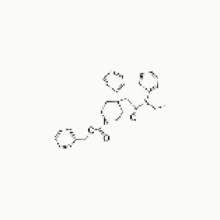 CCN(C(=O)CC1(c2ccccc2)CCN(C(=O)OCc2ccccc2)CC1)c1ccccc1